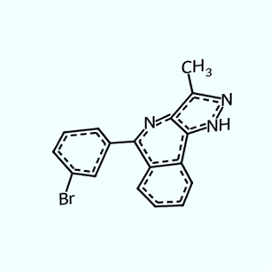 Cc1n[nH]c2c1nc(-c1cccc(Br)c1)c1ccccc12